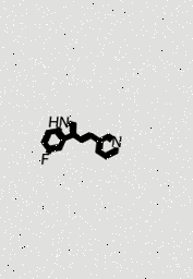 Fc1ccc2[nH]cc(C=Cc3cccnc3)c2c1